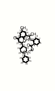 COC(=O)c1ccccc1NC(C)c1cc(C)cc2c(=O)cc(C3=CCN(c4ccccc4)CC3)oc12